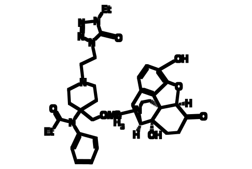 CCC(=O)N(c1ccccc1)C1(COC)CCN(CCn2nnn(CC)c2=O)CC1.CN1CC[C@]23c4c5ccc(O)c4O[C@H]2C(=O)CC[C@@]3(O)[C@H]1C5